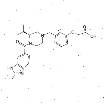 Cc1nc2ccc(C(=O)N3CCN(Cc4cccc(OCC(=O)O)c4)C[C@@H]3C(C)C)cc2[nH]1